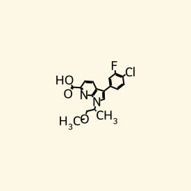 COC[C@H](C)n1cc(-c2ccc(Cl)c(F)c2)c2ccc(C(=O)O)nc21